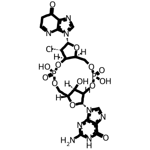 Nc1nc2c(ncn2[C@@H]2O[C@@H]3COP(=O)(O)O[C@H]4[C@H](Cl)[C@H](n5cnc6c5N=CCC6=O)O[C@H]4COP(=O)(O)O[C@@H]2[C@@H]3O)c(=O)[nH]1